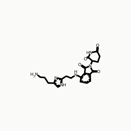 NCCCc1c[nH]c(CCNc2cccc3c2C(=O)N(C2CCC(=O)NC2=O)C3=O)n1